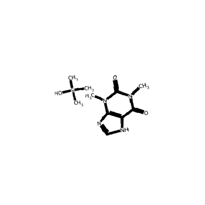 C[Si](C)(C)O.Cn1c(=O)c2[nH]cnc2n(C)c1=O